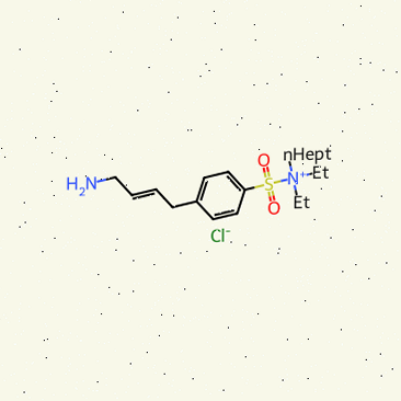 CCCCCCC[N+](CC)(CC)S(=O)(=O)c1ccc(CC=CCN)cc1.[Cl-]